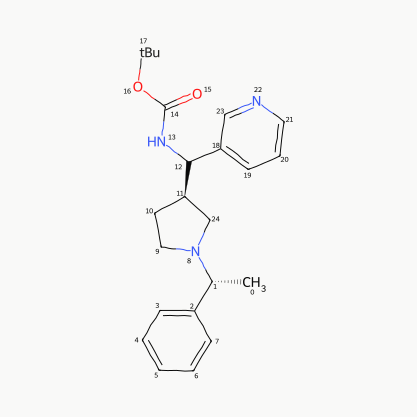 C[C@H](c1ccccc1)N1CC[C@@H](C(NC(=O)OC(C)(C)C)c2cccnc2)C1